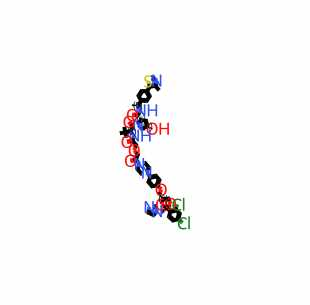 Cc1ncsc1-c1ccc([C@H](C)NC(=O)[C@@H]2C[C@@H](O)CN2C(=O)[C@@H](NC(=O)COCC(=O)N2CCN(c3ccc(OC[C@H]4CO[C@](Cn5ccnc5)(c5ccc(Cl)cc5Cl)O4)cc3)CC2)C(C)(C)C)cc1